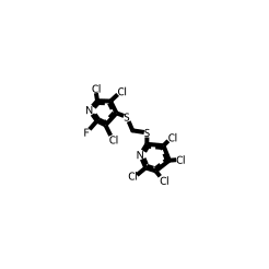 Fc1nc(Cl)c(Cl)c(SCSc2nc(Cl)c(Cl)c(Cl)c2Cl)c1Cl